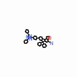 N#Cc1cc2c(c3ccoc13)-c1ccc(-c3ccc(-c4nc(-c5ccccc5)nc(-c5ccccc5)n4)cc3)cc1C2(c1ccccc1)c1ccccc1